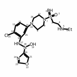 B=S(=O)(CCNCC)N1CCN(c2ccc(Cl)c(NN(O)c3cocn3)c2)CC1